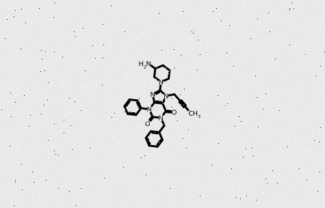 CC#CCn1c(N2CCCC(N)C2)nc2c1c(=O)n(Cc1ccccc1)c(=O)n2-c1ccccc1